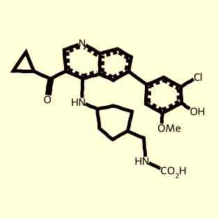 COc1cc(-c2ccc3ncc(C(=O)C4CC4)c(NC4CCC(CNC(=O)O)CC4)c3c2)cc(Cl)c1O